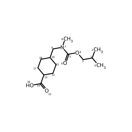 CC(C)COC(=O)N(C)CC1CCC(C(=O)O)CC1